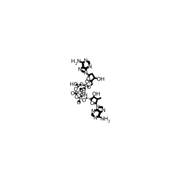 CC1C(O)[C@@H](COP(=O)(O)OP(=O)(O)OP(=O)(O)OP(=O)(O)OC[C@H]2O[C@@H](n3cnc4c(N)ncnc43)CC2O)O[C@H]1n1cnc2c(N)ncnc21